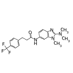 CN(C)c1nc2ccc(NC(=O)CCc3ccc(C(F)(F)F)cc3)cc2n1C